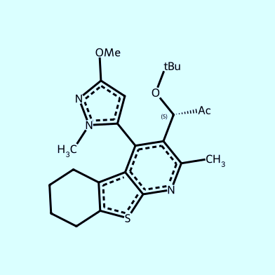 COc1cc(-c2c([C@H](OC(C)(C)C)C(C)=O)c(C)nc3sc4c(c23)CCCC4)n(C)n1